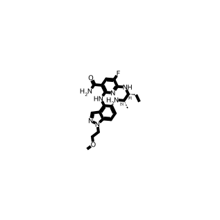 CC[C@@H](Nc1nc(Nc2cccc3c2cnn3CCOC)c(C(N)=O)cc1F)[C@H](C)N